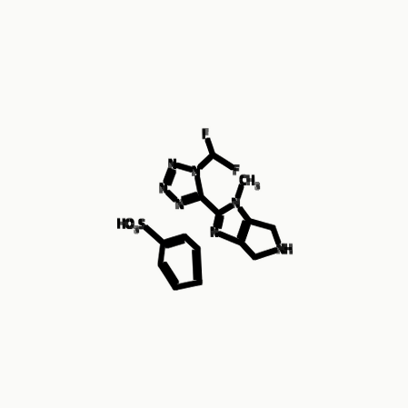 Cn1c(-c2nnnn2C(F)F)nc2c1CNC2.O=S(=O)(O)c1ccccc1